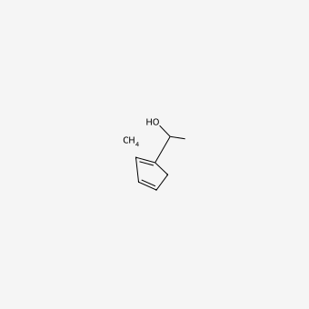 C.CC(O)C1=CC=CC1